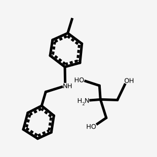 Cc1ccc(NCc2ccccc2)cc1.NC(CO)(CO)CO